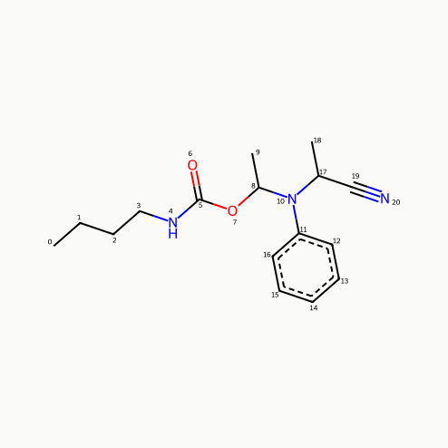 CCCCNC(=O)OC(C)N(c1ccccc1)C(C)C#N